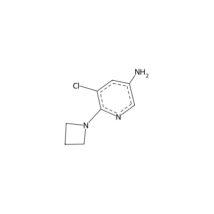 Nc1cnc(N2CCC2)c(Cl)c1